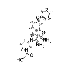 C#CC(=O)N1CCCC(n2nc(-c3ccc(Oc4ccccc4)cc3)c(C(N)=O)c2N)C1